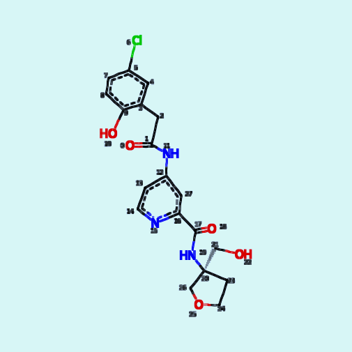 O=C(Cc1cc(Cl)ccc1O)Nc1ccnc(C(=O)N[C@@]2(CO)CCOC2)c1